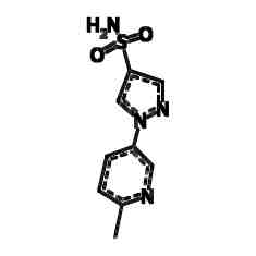 Cc1ccc(-n2cc(S(N)(=O)=O)cn2)cn1